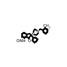 COc1cccc2c1C(=O)C(c1ccccc1)(N1CCN(Cc3ccccc3C)CC1)C2